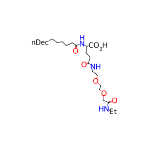 CCCCCCCCCCCCCCCC(=O)NC(CCC(=O)NCCOCCOCC(=O)NCC)C(=O)O